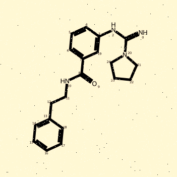 N=C(Nc1cccc(C(=O)NCCc2ccccc2)c1)N1CCCC1